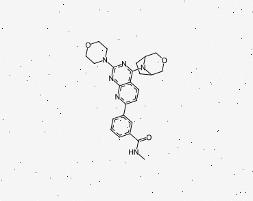 CNC(=O)c1cccc(-c2ccc3c(N4C5CCC4COC5)nc(N4CCOCC4)nc3n2)c1